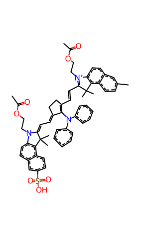 CC(=O)OCCN1/C(=C/C=C2\CCC(/C=C/C3=[N+](CCOC(C)=O)c4ccc5cc(C)ccc5c4C3(C)C)=C2N(c2ccccc2)c2ccccc2)C(C)(C)c2c1ccc1cc(S(=O)(=O)O)ccc21